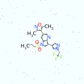 CCCS(=O)(=O)n1cc(-c2cnn(CC(F)(F)F)c2)c2ncc(-c3c(C)noc3C)cc21